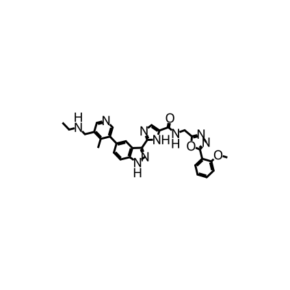 CCNCc1cncc(-c2ccc3[nH]nc(-c4ncc(C(=O)NCc5nnc(-c6ccccc6OC)o5)[nH]4)c3c2)c1C